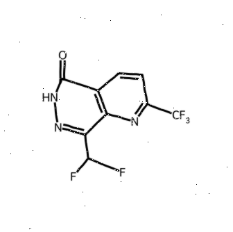 O=c1[nH]nc(C(F)F)c2nc(C(F)(F)F)ccc12